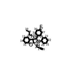 C#CCOC(=O)[C@@](NCCC)(c1ccccc1)[C@@H](Nc1ccccc1)c1ccc(F)cc1